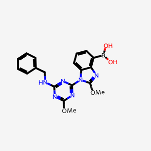 COc1nc(NCc2ccccc2)nc(-n2c(OC)nc3c(B(O)O)cccc32)n1